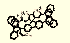 C/C=C\C=C1/Cc2ccccc2N1/C(C)=C/C1=C(C)C(C)=C(/C=C(\C)N2C3=C(C=CCC3)C3=CC=CCC32)C12c1cc(-n3c4ccccc4c4ccccc43)ccc1-c1ccc(-n3c4ccccc4c4ccccc43)cc12